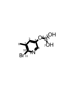 Cc1cc(OB(O)O)cnc1Br